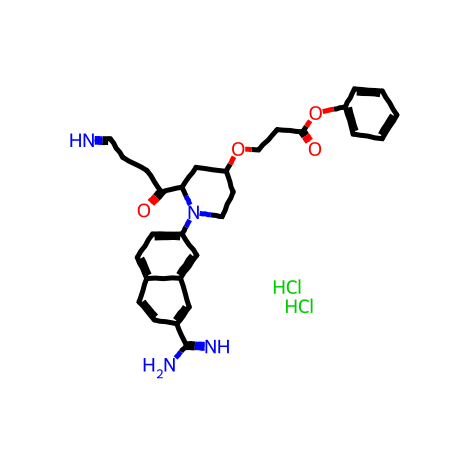 Cl.Cl.N=CCCC(=O)C1CC(OCCC(=O)Oc2ccccc2)CCN1c1ccc2ccc(C(=N)N)cc2c1